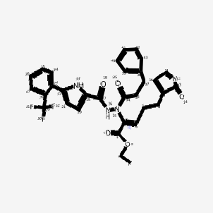 CCOC(=O)/C(=C/CCC1=CC=NC1=O)N(NC(=O)c1ccc(-c2ccccc2C(F)(F)F)[nH]1)C(=O)CCc1ccccc1